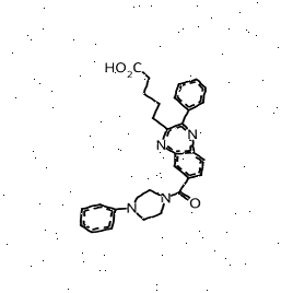 O=C(O)CCCCc1nc2cc(C(=O)N3CCN(c4ccccc4)CC3)ccc2nc1-c1ccccc1